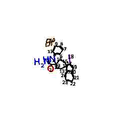 NC(=O)C1(Nc2cccc(Br)c2)CCC2(CC1)C(I)=Cc1ccccc12